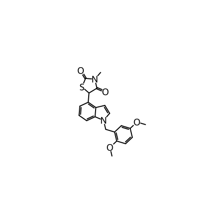 COc1ccc(OC)c(Cn2ccc3c(C4SC(=O)N(C)C4=O)cccc32)c1